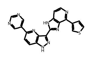 c1ncc(-c2ccc3[nH]nc(-c4nc5c(-c6ccsc6)nccc5[nH]4)c3n2)cn1